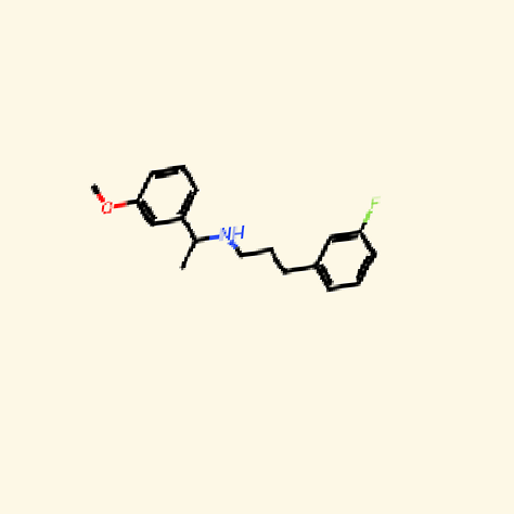 COc1cccc(C(C)NCCCc2cccc(F)c2)c1